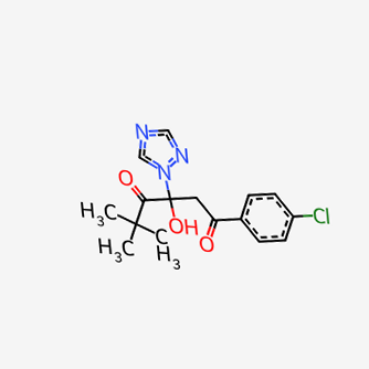 CC(C)(C)C(=O)C(O)(CC(=O)c1ccc(Cl)cc1)n1cncn1